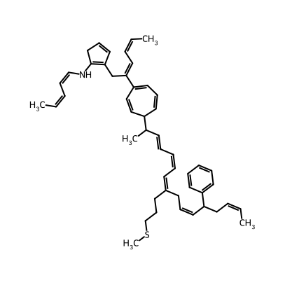 C/C=C\C=C/NC1=C(C/C(=C\C=C/C)C2=CC=CC(C(C)/C=C/C=C\C=C(/C/C=C\C(C/C=C\C)c3ccccc3)CCCSC)C=C2)C=CC1